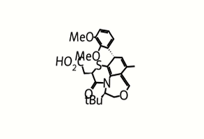 COc1cccc([C@@H]2C=C(C)C3=COC[C@@H](C(C)(C)C)N4C(=O)[C@@H](CC(=O)O)SC2=C34)c1OC